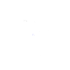 C=CCN[C@@H](C)C(=O)OC